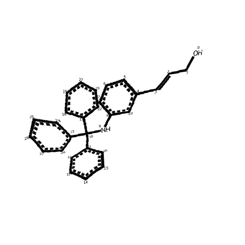 OC/C=C/c1cccc(NC(c2ccccc2)(c2ccccc2)c2ccccc2)c1